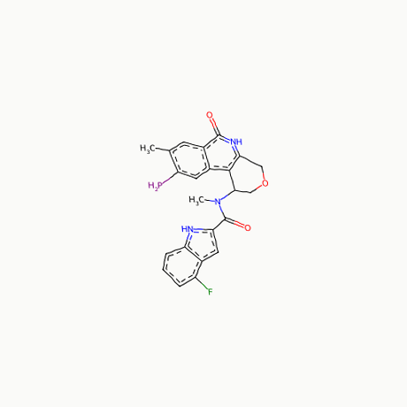 Cc1cc2c(=O)[nH]c3c(c2cc1P)C(N(C)C(=O)c1cc2c(F)cccc2[nH]1)COC3